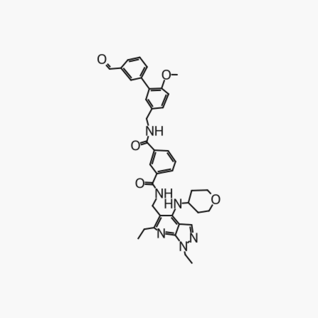 CCc1nc2c(cnn2CC)c(NC2CCOCC2)c1CNC(=O)c1cccc(C(=O)NCc2ccc(OC)c(-c3cccc(C=O)c3)c2)c1